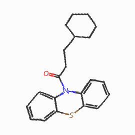 O=C(CCC1CCCCC1)N1c2ccccc2Sc2ccccc21